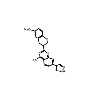 COc1ccc2c(c1)CC(c1nc(O)c3ccc(-c4cn[nH]c4)cc3n1)CO2